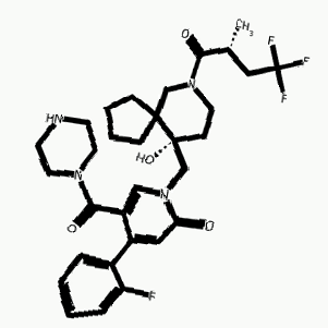 C[C@H](CC(F)(F)F)C(=O)N1CC[C@@](O)(Cn2cc(C(=O)N3CCNCC3)c(-c3ccccc3F)cc2=O)C2(CCCC2)C1